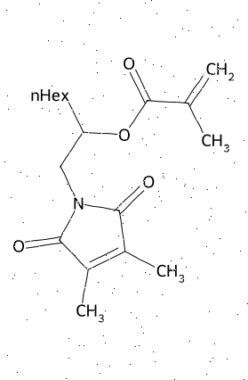 C=C(C)C(=O)OC(CCCCCC)CN1C(=O)C(C)=C(C)C1=O